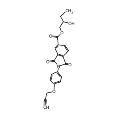 C#CCOc1ccc(N2C(=O)c3ccc(C(=O)OCC(O)CC)cc3C2=O)cc1